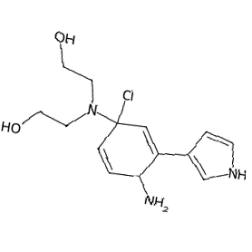 NC1C=CC(Cl)(N(CCO)CCO)C=C1c1cc[nH]c1